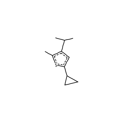 Cc1sc(C2CC2)cc1C(C)C